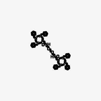 O=C(CN1CCN(Cc2ccccc2)CCN(Cc2ccccc2)CCN(Cc2ccccc2)CC1)NCCOCCOCCNC(=O)CN1CCN(Cc2ccccc2)CCN(Cc2ccccc2)CCN(Cc2ccccc2)CC1